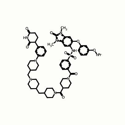 CCCOc1cccc(Oc2cc3c(cc2NS(=O)(=O)c2cccc(C(=O)N4CCC(C(=O)N5CCC(CC6CCN(CC7CCN(c8cccc(C9CCC(=O)NC9=O)c8)CC7)CC6)CC5)CC4)c2)n(C)c(=O)n3C)c1